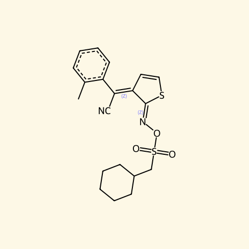 Cc1ccccc1/C(C#N)=C1\C=CS\C1=N/OS(=O)(=O)CC1CCCCC1